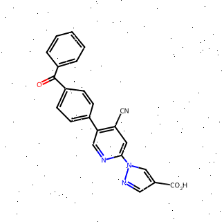 N#Cc1cc(-n2cc(C(=O)O)cn2)ncc1-c1ccc(C(=O)c2ccccc2)cc1